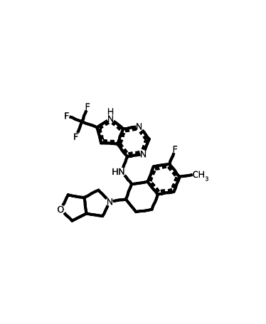 Cc1cc2c(cc1F)C(Nc1ncnc3[nH]c(C(F)(F)F)cc13)C(N1CC3COCC3C1)CC2